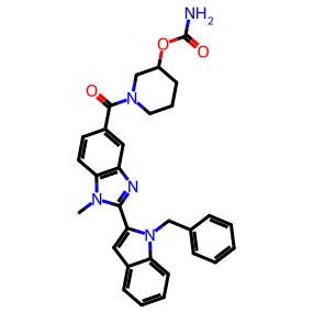 Cn1c(-c2cc3ccccc3n2Cc2ccccc2)nc2cc(C(=O)N3CCCC(OC(N)=O)C3)ccc21